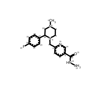 CN1CCN(Cc2ccc(C(=O)NN)cn2)C(c2ccc(F)cc2)C1